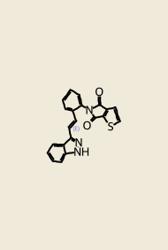 O=C1c2ccsc2C(=O)N1c1ccccc1/C=C/c1n[nH]c2ccccc12